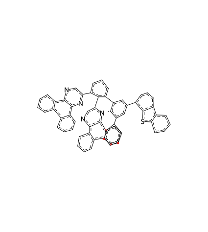 [c]1cccc(-c2[c]c(-c3cccc(-c4cnc5c6ccccc6c6ccccc6c5n4)c3-c3cnc4c5ccccc5c5ccccc5c4n3)cc(-c3cccc4c3sc3ccccc34)c2)c1